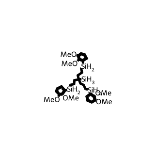 COc1cccc([SiH2]CCCC([SiH3])(CCC[SiH2]c2cccc(OC)c2OC)CCC[SiH2]c2cccc(OC)c2OC)c1OC